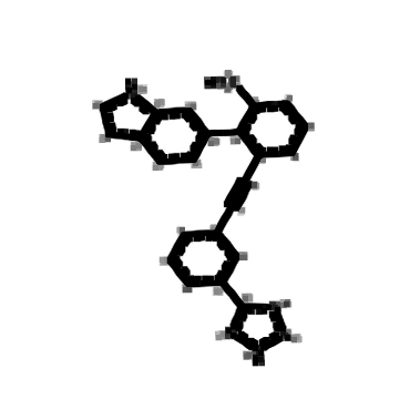 O=C(O)c1cccc(C#Cc2cccc(-c3nn[nH]n3)c2)c1-c1ccc2cc[nH]c2c1